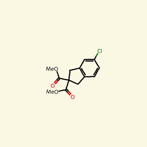 COC(=O)C1(C(=O)OC)Cc2ccc(Cl)cc2C1